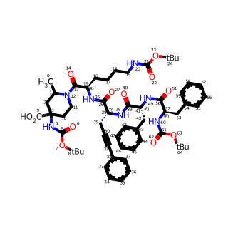 CC1CC(NC(=O)OC(C)(C)C)(C(=O)O)CCN1C(=O)[C@@H](CCCCNC(=O)OC(C)(C)C)NC(=O)[C@@H](CC#Cc1ccccc1)NC(=O)[C@@H](Cc1ccccc1)NC(=O)[C@@H](Cc1ccccc1)NC(=O)OC(C)(C)C